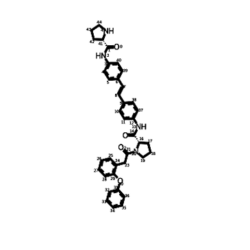 O=C(Nc1ccc(/C=C/c2ccc(NC(=O)[C@@H]3CCCN3C(=O)Cc3ccccc3Oc3ccccc3)cc2)cc1)[C@@H]1CCCN1